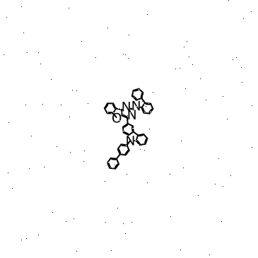 c1ccc(-c2ccc(-n3c4ccccc4c4cc(-c5nc(-n6c7ccccc7c7ccccc76)nc6c5oc5ccccc56)ccc43)cc2)cc1